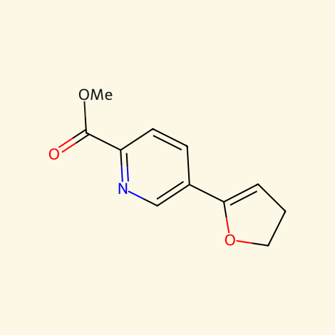 COC(=O)c1ccc(C2=CCCO2)cn1